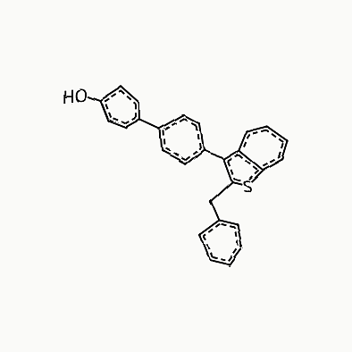 Oc1ccc(-c2ccc(-c3c(Cc4ccccc4)sc4ccccc34)cc2)cc1